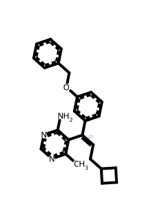 Cc1ncnc(N)c1/C(=C\CC1CCC1)c1cccc(OCc2ccccc2)c1